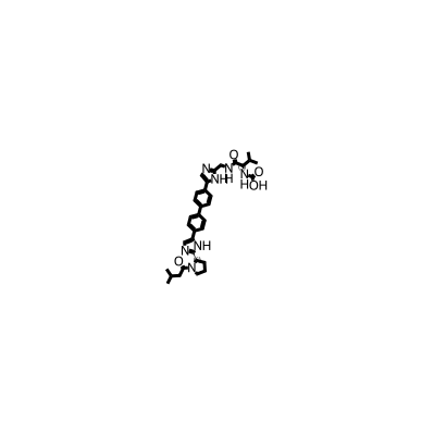 CC(C)CC(=O)N1CCC[C@H]1c1ncc(-c2ccc(-c3ccc(-c4cnc(CNC(=O)[C@@H](NC(=O)O)C(C)C)[nH]4)cc3)cc2)[nH]1